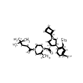 C[C@H]1CN(C(=O)CCC(C)(C)C)CCN1C(=O)[C@@H]1CN(C2CCC2)C[C@H]1c1ccc(F)cc1F